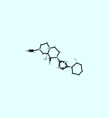 C[C@@H]1CCCC[C@H]1c1cnc(N2CCN3CCN(C#N)C[C@@H]3C2=O)s1